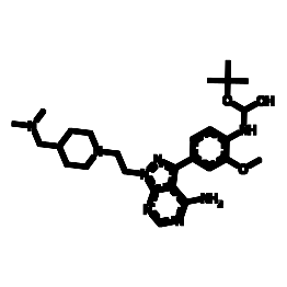 COc1cc(-c2nn(CCN3CCC(CN(C)C)CC3)c3ncnc(N)c23)ccc1NC(O)OC(C)(C)C